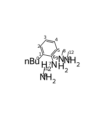 CCCCc1ccccc1N.CN.CN.CN